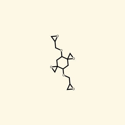 C1OC1COC1CC2(CO2)C(OCC2CO2)CC12CO2